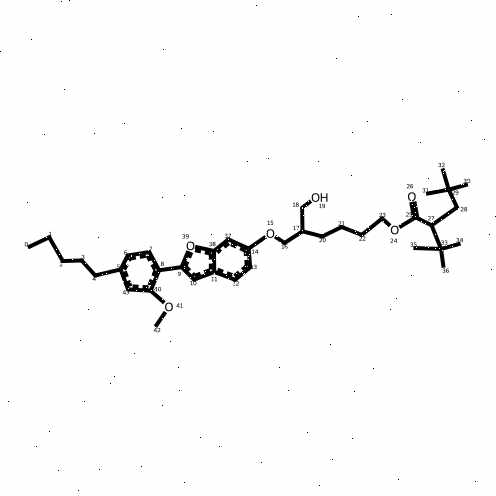 CCCCCc1ccc(-c2cc3ccc(OCC(CO)CCCCOC(=O)C(CC(C)(C)C)C(C)(C)C)cc3o2)c(OC)c1